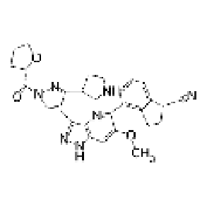 COc1cc2[nH]nc(-c3cn(C(=O)[C@@H]4CCCO4)nc3C3CCNC3)c2nc1-c1cccc2c1CCC2C#N